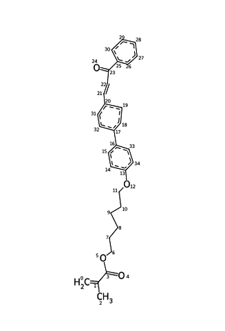 C=C(C)C(=O)OCCCCCCOc1ccc(-c2ccc(C=CC(=O)c3ccccc3)cc2)cc1